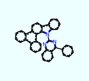 c1ccc(-c2nc(-n3c4ccccc4c4ccc5c6ccccc6c6ccccc6c5c43)nc3ccccc23)cc1